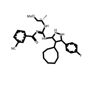 COC[C@H](C)N/C(=N/C(=O)c1cccc(C#N)c1)NC1NNC(c2ccc(F)cc2)C1C1CCCCCCC1